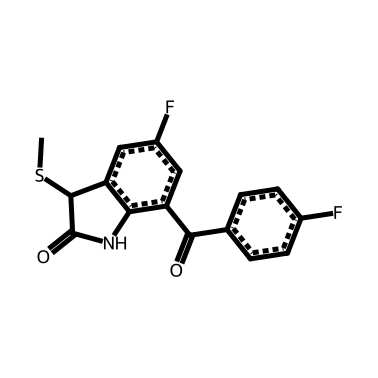 CSC1C(=O)Nc2c(C(=O)c3ccc(F)cc3)cc(F)cc21